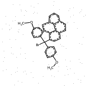 COc1ccc(C(Br)(c2ccc(OC)cc2)c2ccc3ccc4cccc5ccc2c3c45)cc1